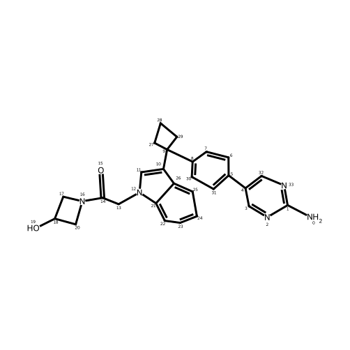 Nc1ncc(-c2ccc(C3(c4cn(CC(=O)N5CC(O)C5)c5ccccc45)CCC3)cc2)cn1